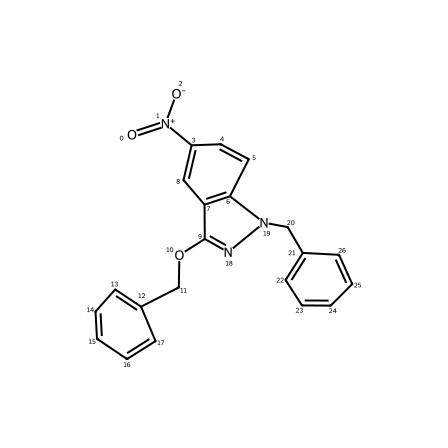 O=[N+]([O-])c1ccc2c(c1)c(OCc1ccccc1)nn2Cc1ccccc1